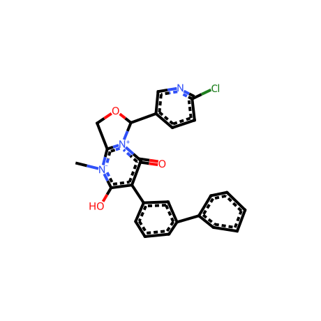 Cn1c(O)c(-c2cccc(-c3ccccc3)c2)c(=O)[n+]2c1COC2c1ccc(Cl)nc1